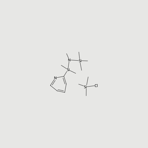 CN([Si](C)(C)C)[Si](C)(C)c1ccccn1.C[Si](C)(C)Cl